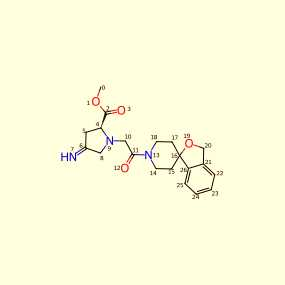 COC(=O)[C@@H]1CC(=N)CN1CC(=O)N1CCC2(CC1)OCc1ccccc12